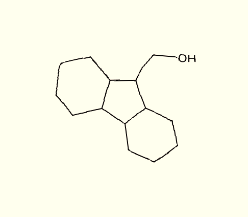 OCC1C2CCCCC2C2CCCCC12